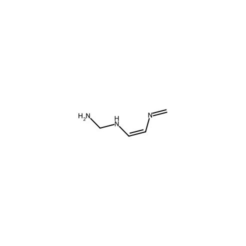 C=N/C=C\NCN